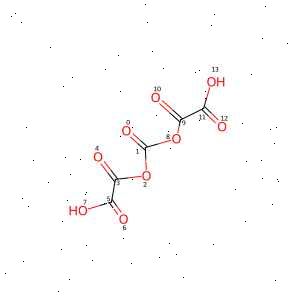 O=C(OC(=O)C(=O)O)OC(=O)C(=O)O